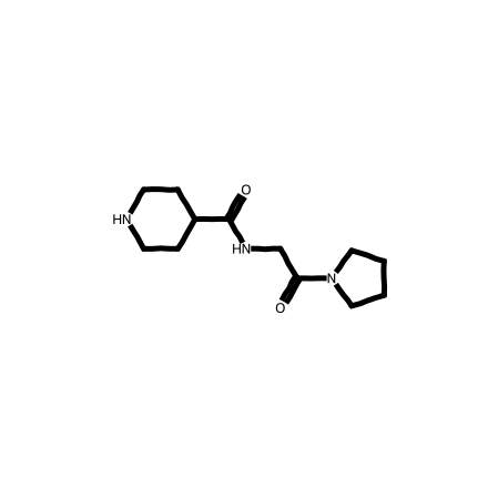 O=C(NCC(=O)N1CCCC1)C1CCNCC1